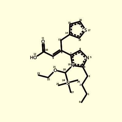 CCCCc1ncc(C(=CC(=O)O)Cc2ccsc2)n1C(OCC)[Si](C)(C)C